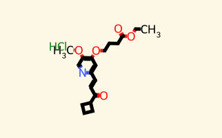 CCOC(=O)CCCOc1cc(/C=C/C(=O)C2CCC2)ncc1OC.Cl